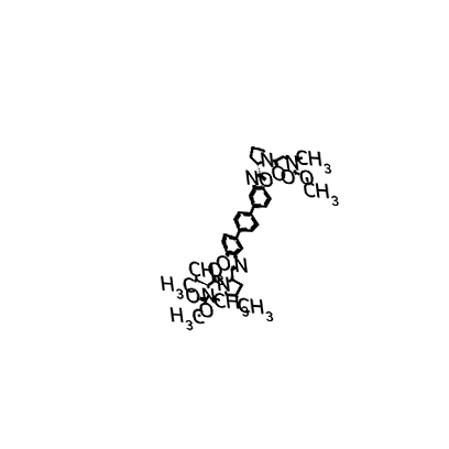 COC(=O)N(C)CC(=O)N1CCC[C@H]1c1nc2cc(-c3ccc(-c4ccc5oc(C6C[C@H](C)CN6C(=O)[C@H](C(C)C)N(C)C(=O)OC)nc5c4)cc3)ccc2o1